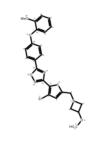 CCc1cc(CN2CC(OC(=O)O)C2)sc1-c1noc(-c2ccc(Oc3ccccc3OC)cc2)n1